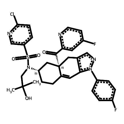 CC(C)(O)CN([C@H]1CCC2=Cc3c(cnn3-c3ccc(F)cc3)C[C@]2(C(=O)c2cc(F)ccn2)C1)S(=O)(=O)c1ccc(Cl)nc1